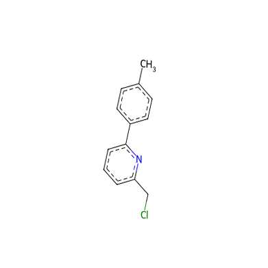 Cc1ccc(-c2cccc(CCl)n2)cc1